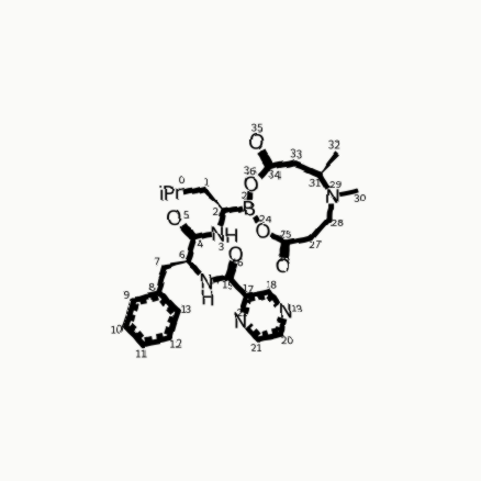 CC(C)C[C@H](NC(=O)[C@H](Cc1ccccc1)NC(=O)c1cnccn1)B1OC(=O)CCN(C)[C@H](C)CC(=O)O1